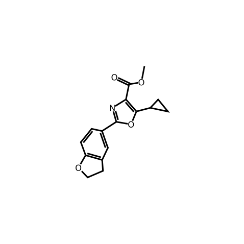 COC(=O)c1nc(-c2ccc3c(c2)CCO3)oc1C1CC1